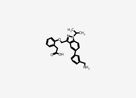 CC(C)n1nc(COc2ccccc2CC(=O)O)c2cc(-c3cccc(CN)c3)ccc21